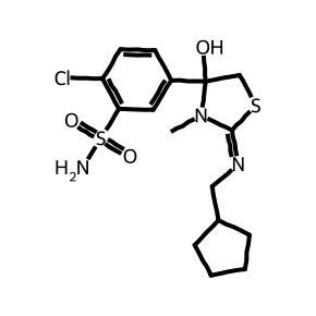 CN1/C(=N\CC2CCCC2)SCC1(O)c1ccc(Cl)c(S(N)(=O)=O)c1